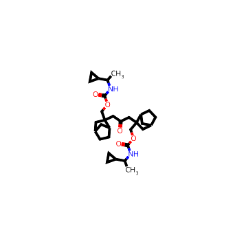 CC(NC(=O)OCC1(CC(=O)CC2(COC(=O)NC(C)C3CC3)CC3CCC2C3)CC2CCC1C2)C1CC1